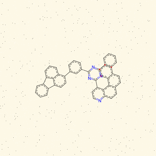 c1ccc(-c2nc(-c3cccc(-c4ccc5c6c(cccc46)-c4ccccc4-5)c3)nc(-c3ccnc4ccc5ccc6ccccc6c5c34)n2)cc1